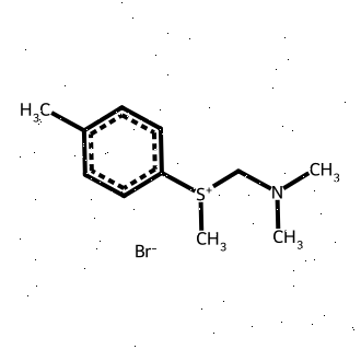 Cc1ccc([S+](C)CN(C)C)cc1.[Br-]